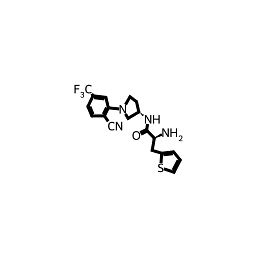 N#Cc1ccc(C(F)(F)F)cc1N1CC[C@H](NC(=O)[C@@H](N)Cc2cccs2)C1